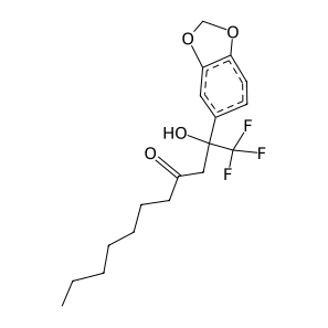 CCCCCCCC(=O)CC(O)(c1ccc2c(c1)OCO2)C(F)(F)F